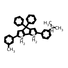 Cc1cccc(C2=CC3=C([SiH2]2)C2=C(C=C(c4cccc([SiH](C)C)c4)[SiH2]2)C3(c2ccccc2)c2ccccc2)c1